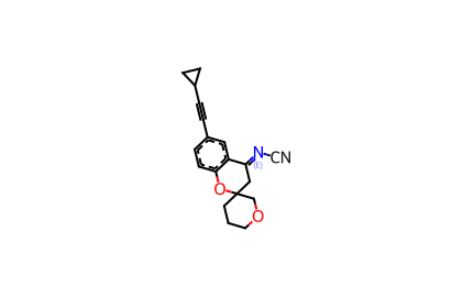 N#C/N=C1\CC2(CCCOC2)Oc2ccc(C#CC3CC3)cc21